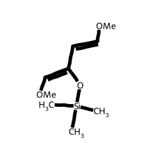 CO/C=C(/C=C/OC)O[Si](C)(C)C